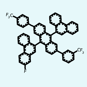 Fc1ccc2c(c1)cc(-c1c3ccc(-c4cccc(C(F)(F)F)c4)cc3c(-c3cc4ccccc4c4ccccc34)c3ccc(-c4ccc(C(F)(F)F)cc4)cc13)c1ccccc12